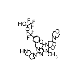 Cn1c(=O)n(CC(=O)N2CCOCC2)c(=O)c2c1nc(N1CCC3CNCC31)n2Cc1cccc(C(F)(F)F)c1.O=C(O)C(F)(F)F